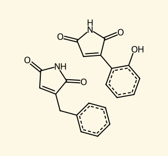 O=C1C=C(Cc2ccccc2)C(=O)N1.O=C1C=C(c2ccccc2O)C(=O)N1